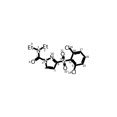 CCN(CC)C(=O)n1ccc(S(=O)(=O)c2c(Cl)cccc2Cl)n1